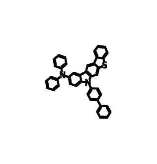 c1ccc(-c2ccc(-n3c4ccc(N(c5ccccc5)c5ccccc5)cc4c4cc5c(cc43)sc3ccccc35)cc2)cc1